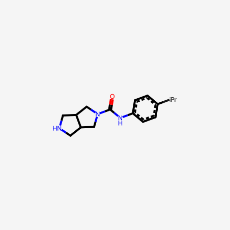 CC(C)c1ccc(NC(=O)N2CC3CNCC3C2)cc1